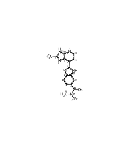 Cc1nc2c(-c3cc4ccc(C(=O)N(C)C(C)C)cc4[nH]3)ccnc2[nH]1